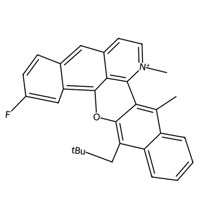 Cc1c2c(c(CC(C)(C)C)c3ccccc13)Oc1c3cc(F)ccc3cc3cc[n+](C)c-2c13